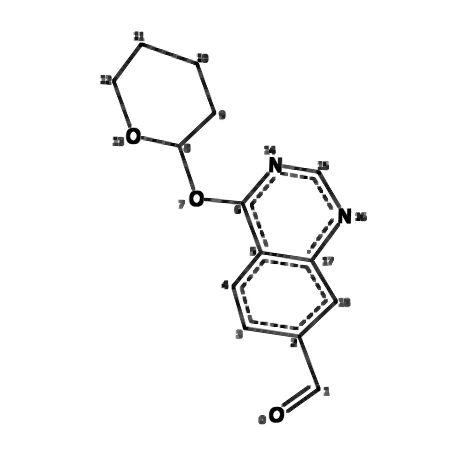 O=Cc1ccc2c(OC3CCCCO3)ncnc2c1